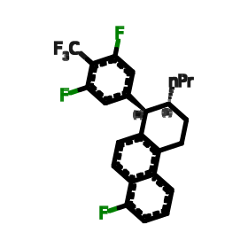 CCC[C@@H]1CCc2c(ccc3c(F)cccc23)[C@H]1c1cc(F)c(C(F)(F)F)c(F)c1